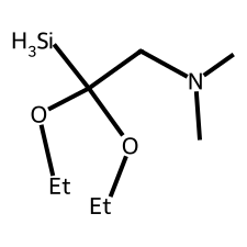 CCOC([SiH3])(CN(C)C)OCC